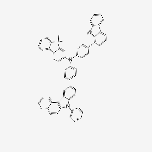 CC1(C)c2ccccc2-c2ccc(N(c3ccc(-c4ccc5c(c4)c4c6ccccc6ccc4n5-c4ccccc4)cc3)c3ccc(-c4cccc5c4oc4ccccc45)cc3)cc21